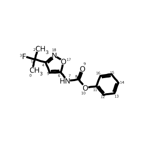 CC(C)(F)c1cc(NC(=O)Oc2ccccc2)on1